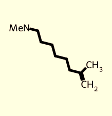 C=C(C)CCCCCCNC